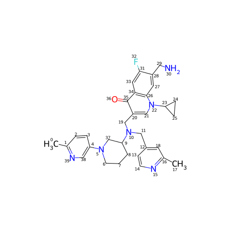 Cc1ccc(N2CCCC(N(Cc3ccnc(C)c3)Cc3cn(C4CC4)c4cc(CN)c(F)cc4c3=O)C2)cn1